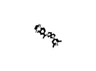 Cc1cc(N2CCC3(CCN(C(C)c4ccc5nccnc5c4)C3)C2)cc(C)n1